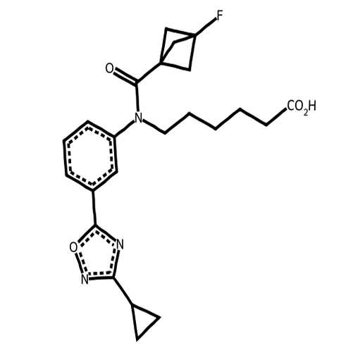 O=C(O)CCCCCN(C(=O)C12CC(F)(C1)C2)c1cccc(-c2nc(C3CC3)no2)c1